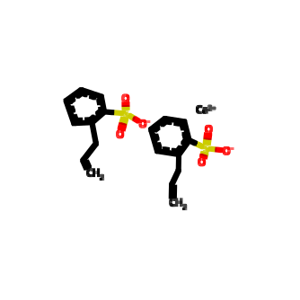 C=CCc1ccccc1S(=O)(=O)[O-].C=CCc1ccccc1S(=O)(=O)[O-].[Ca+2]